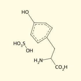 NC(Cc1ccc(O)cc1)C(=O)O.O=S(=O)(O)O